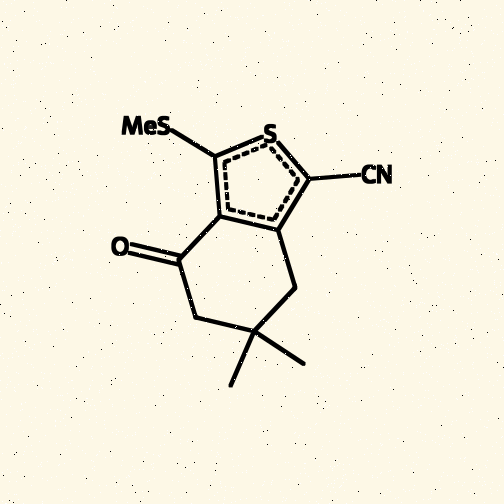 CSc1sc(C#N)c2c1C(=O)CC(C)(C)C2